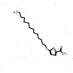 CCCCCCCCCCCCCCOc1ccc(C(C)=O)s1